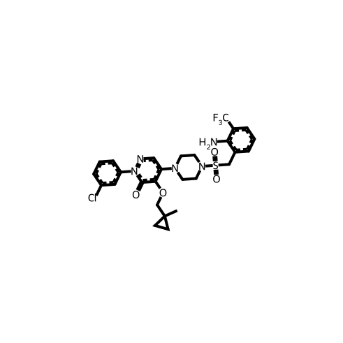 CC1(COc2c(N3CCN(S(=O)(=O)Cc4cccc(C(F)(F)F)c4N)CC3)cnn(-c3cccc(Cl)c3)c2=O)CC1